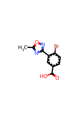 Cc1nc(-c2cc(C(=O)O)ccc2Br)no1